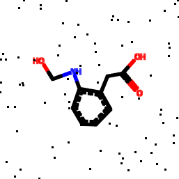 O=C(O)Cc1ccccc1NCO